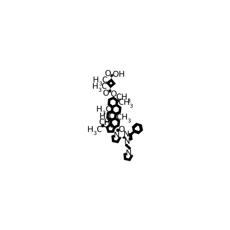 C=C(C)[C@@H]1CC[C@]2(C(=O)N3CCC[C@H]3c3nc(-c4ccccc4)cn3CCN3CCCC3)CC[C@]3(C)[C@H](CCC4[C@@]5(C)CC[C@H](OC(=O)[C@H]6C[C@@H](C(=O)O)C6(C)C)C(C)(C)C5CC[C@]43C)C12